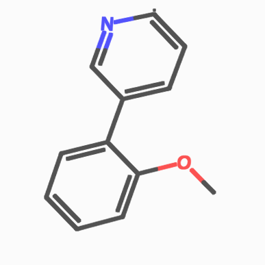 COc1ccccc1-c1cc[c]nc1